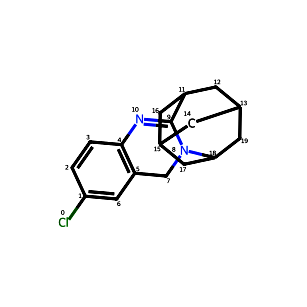 Clc1ccc2c(c1)CN1C(=N2)C2CC3CC(C2)CC1C3